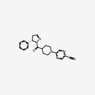 N#Cc1cnc(N2CCC(C(=O)N3N=CC[C@H]3c3ccccc3)CC2)cn1